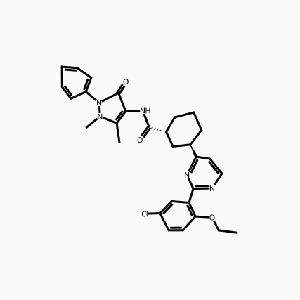 CCOc1ccc(Cl)cc1-c1nccc([C@@H]2CCC[C@@H](C(=O)Nc3c(C)n(C)n(-c4ccccc4)c3=O)C2)n1